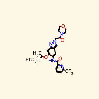 CCOC(=O)C(C)Oc1cc2nn(CC(=O)N3CCOCC3)cc2cc1NC(=O)c1cccc(C(F)(F)F)n1